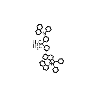 CC1(C)c2cc(-c3cccc4c3ccc3c(-c5ccccc5)c(-c5ccccc5)n(-c5cccc6ccccc56)c34)ccc2-c2ccc(N(c3ccccc3)c3cccc4ccccc34)cc21